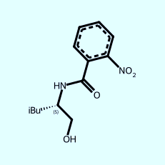 CCC(C)[C@@H](CO)NC(=O)c1ccccc1[N+](=O)[O-]